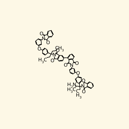 CCCC(CCC)(c1ccc(Oc2cccc(N3C(=O)c4ccccc4C3=O)c2)cc1)N1C(=O)c2ccc(-c3cccc4c3C(=O)N(c3cccc(Oc5ccc(C(CC)(C(C)N)N6C(=O)c7ccccc7C6=O)cc5)c3)C4=O)cc2C1=O